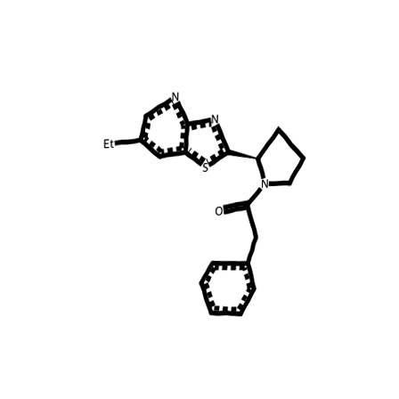 CCc1cnc2nc([C@H]3CCCN3C(=O)Cc3ccccc3)sc2c1